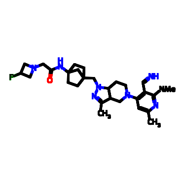 CNc1nc(C)cc(N2CCC3C(C2)C(C)=NN3CC23CCC(NC(=O)CN4CC(F)C4)(CC2)C3)c1C=N